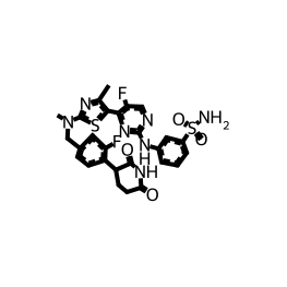 Cc1nc(N(C)Cc2ccc(C3CCC(=O)NC3=O)c(F)c2)sc1-c1nc(Nc2cccc(S(N)(=O)=O)c2)ncc1F